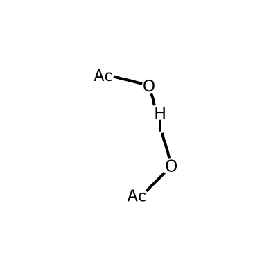 CC(=O)O[IH]OC(C)=O